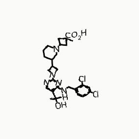 CC1(C(=O)O)CC(N2CCCC(C3CN(c4ncc(C(C)(C)O)c(NCc5ccc(Cl)cc5Cl)n4)C3)C2)C1